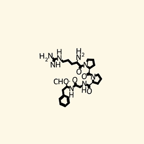 N=C(N)NCCC[C@H](N)C(=O)N1CCC[C@H]1C(=O)N1CCC[C@H]1C(=O)NCC(=O)N[C@H]([C]=O)Cc1ccccc1